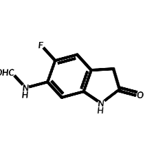 O=CNc1cc2c(cc1F)CC(=O)N2